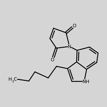 CCCCCc1c[nH]c2cccc(N3C(=O)C=CC3=O)c12